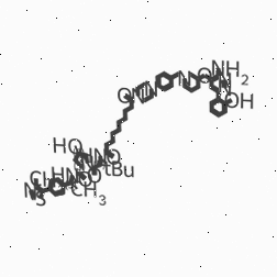 Cc1ncsc1-c1ccc([C@H](C)NC(=O)[C@@H]2C[C@@H](O)CN2C(=O)[C@@H](NC(=O)CCCCCCCCC(=O)N2CCN(c3ccc(CN4CCCC(Oc5cc(-c6ccccc6O)nnc5N)C4)cc3)CC2)C(C)(C)C)cc1